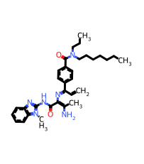 C=C/C(=N\C(C(=O)Nc1nc2ccccc2n1C)=C(/C)N)c1ccc(C(=O)N(CCC)CCCCCCC)cc1